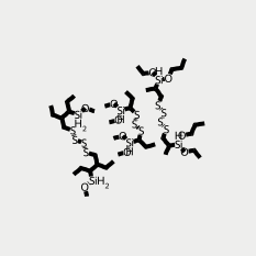 CCC(CSSSSCC(CC)C(CC)[SiH2]OC)C(CC)[SiH2]OC.CCC(SSSC(CC)[SiH](OC)OC)[SiH](OC)OC.CCCO[SiH](OCC)C(C)CSSSSCC(C)[SiH](OCC)OCCC